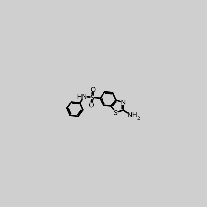 Nc1nc2ccc(S(=O)(=O)Nc3ccccc3)cc2s1